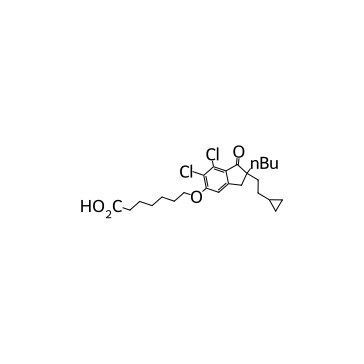 CCCCC1(CCC2CC2)Cc2cc(OCCCCCCC(=O)O)c(Cl)c(Cl)c2C1=O